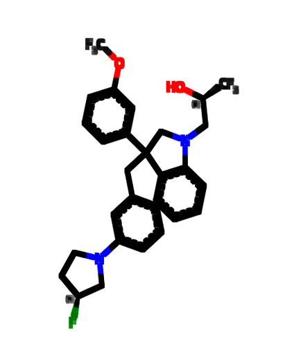 O[C@H](CN1CC(Cc2cccc(N3CC[C@H](F)C3)c2)(c2cccc(OC(F)(F)F)c2)c2ccccc21)C(F)(F)F